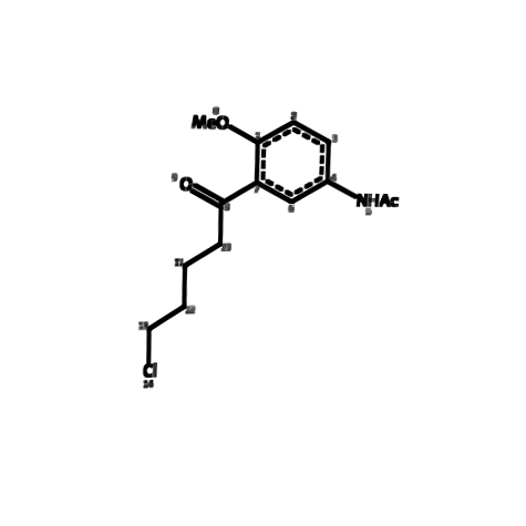 COc1ccc(NC(C)=O)cc1C(=O)CCCCCl